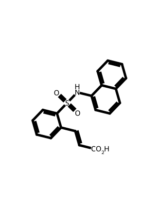 O=C(O)C=Cc1ccccc1S(=O)(=O)Nc1cccc2ccccc12